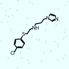 Clc1ccc(SCCNCCCn2ccnc2)cc1